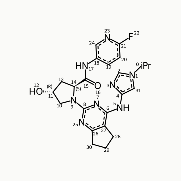 CC(C)n1cnc(Nc2nc(N3C[C@H](O)C[C@H]3C(=O)Nc3ccc(F)nc3)nc3c2CCC3)c1